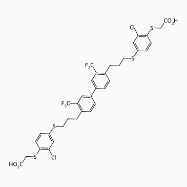 O=C(O)CSc1ccc(SCCCc2ccc(-c3ccc(CCCSc4ccc(SCC(=O)O)c(Cl)c4)c(C(F)(F)F)c3)cc2C(F)(F)F)cc1Cl